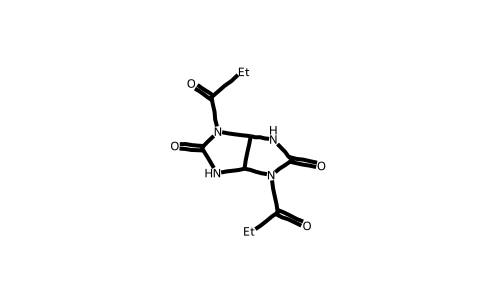 CCC(=O)N1C(=O)NC2C1NC(=O)N2C(=O)CC